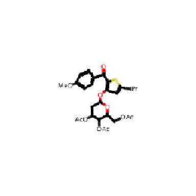 COc1ccc(C(=O)c2sc(C(C)C)cc2OC2[C]C(OC(C)=O)C(OC(C)=O)C(COC(C)=O)O2)cc1